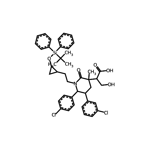 CC1(C(CO)C(=O)O)CC(c2cccc(Cl)c2)C(c2ccc(Cl)cc2)N(CCC2CC2O[Si](c2ccccc2)(c2ccccc2)C(C)(C)C)C1=O